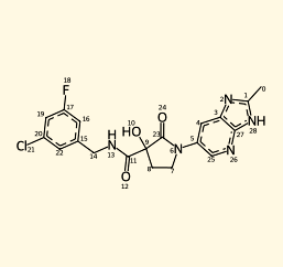 Cc1nc2cc(N3CCC(O)(C(=O)NCc4cc(F)cc(Cl)c4)C3=O)cnc2[nH]1